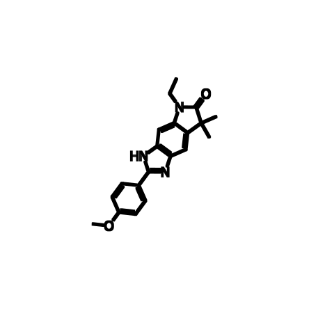 CCN1C(=O)C(C)(C)c2cc3nc(-c4ccc(OC)cc4)[nH]c3cc21